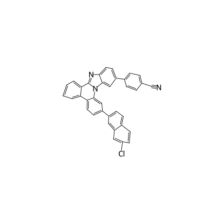 N#Cc1ccc(-c2ccc3nc4c5ccccc5c5ccc(-c6ccc7ccc(Cl)cc7c6)cc5n4c3c2)cc1